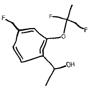 CC(O)c1ccc(F)cc1OC(C)(F)F